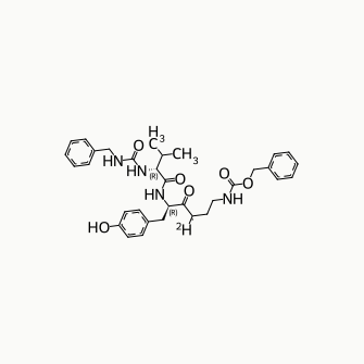 [2H][C](CCNC(=O)OCc1ccccc1)C(=O)[C@@H](Cc1ccc(O)cc1)NC(=O)[C@H](NC(=O)NCc1ccccc1)C(C)C